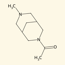 CC(=O)N1CC2CC(CN(C)C2)C1